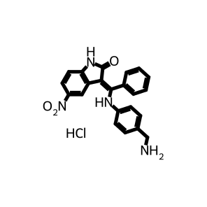 Cl.NCc1ccc(NC(=C2C(=O)Nc3ccc([N+](=O)[O-])cc32)c2ccccc2)cc1